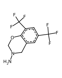 NN1COc2c(cc(C(F)(F)F)cc2C(F)(F)F)C1